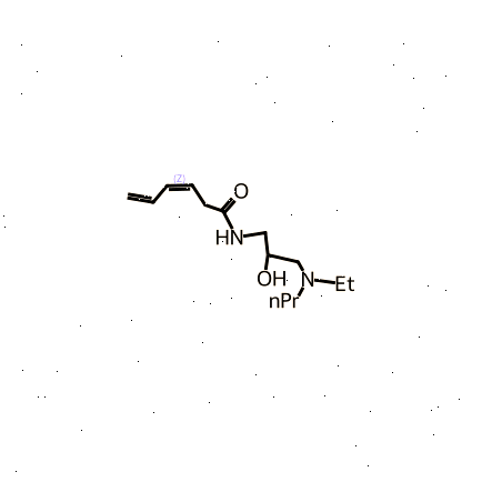 C=C/C=C\CC(=O)NCC(O)CN(CC)CCC